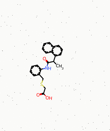 CC(C(=O)Nc1ccccc1CSCC(=O)O)c1cccc2ccccc12